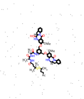 COc1cc2c(cc1OCc1cc(COc3cc4c(cc3OC)C(=O)N3c5ccccc5C[C@H]3C(O)N4)cc(NC(=O)[C@@H](C)NC(=O)[C@H](C)NC(=O)CCC(C)(C)SSC(C)CCC(C)=O)c1)NC[C@@H]1Cc3ccccc3N1C2=O